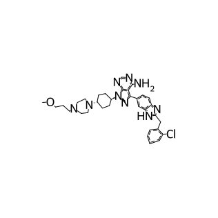 COCCCN1CCN([C@H]2CC[C@H](n3nc(-c4ccc5nc(Cc6ccccc6Cl)[nH]c5c4)c4c(N)ncnc43)CC2)CC1